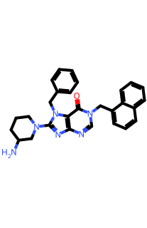 NC1CCCN(c2nc3ncn(Cc4cccc5ccccc45)c(=O)c3n2Cc2ccccc2)C1